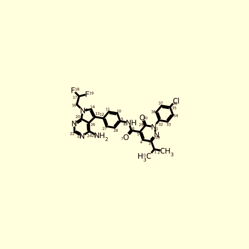 CC(C)c1cc(C(=O)Nc2ccc(-c3cn(CC(F)F)c4ncnc(N)c34)cc2)c(=O)n(-c2ccc(Cl)cc2)n1